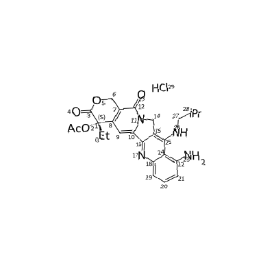 CC[C@@]1(OC(C)=O)C(=O)OCc2c1cc1n(c2=O)Cc2c-1nc1cccc(N)c1c2NCC(C)C.Cl